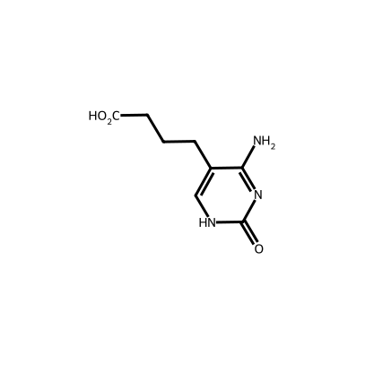 Nc1nc(=O)[nH]cc1CCCC(=O)O